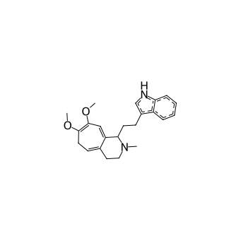 COC1=C(OC)CC=C2CCN(C)C(CCc3c[nH]c4ccccc34)C2=C1